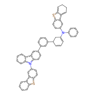 C1=CC(c2cccc(-c3ccc4c(c3)c3ccccc3n4-c3ccc4sc5ccccc5c4c3)c2)CC(N(c2ccccc2)c2ccc3sc4c(c3c2)=CCCC=4)=C1